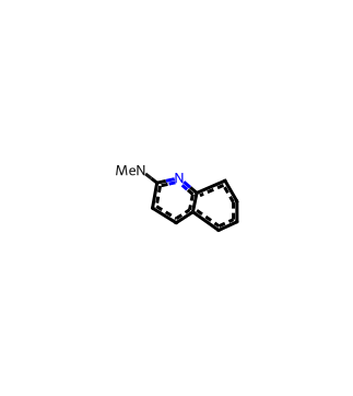 [CH2]Nc1ccc2ccccc2n1